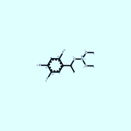 CO[SiH](OC)OC(C)c1cc(F)c(F)cc1F